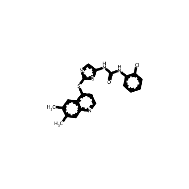 Cc1cc2nccc(Sc3ncc(NC(=O)Nc4ccccc4Cl)s3)c2cc1C